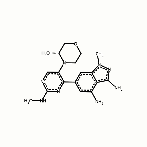 CNc1ncc(N2CCOC[C@H]2C)c(-c2cc(N)c3c(N)nn(C)c3c2)n1